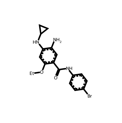 CCOc1cc(NC2CC2)c(N)cc1C(=O)Nc1ccc(Br)cc1